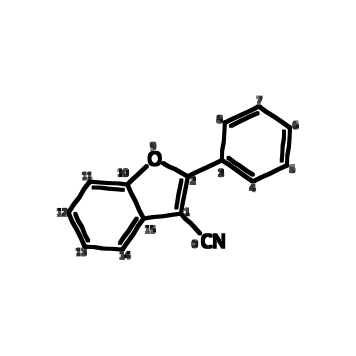 N#Cc1c(-c2ccccc2)oc2ccccc12